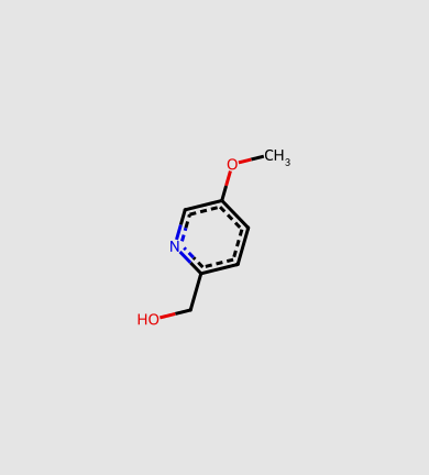 COc1ccc(CO)nc1